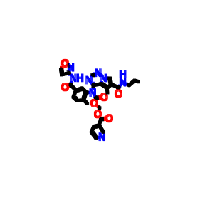 CCCNC(=O)c1cn2ncnc(N(C(=O)OCOC(=O)c3cccnc3)c3cc(C(=O)Nc4ccon4)ccc3C)c2c1C